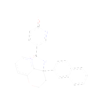 O=C(NC1(c2ccc3ccccc3c2)CCOc2cccnc21)c1ccc(=O)[nH]c1